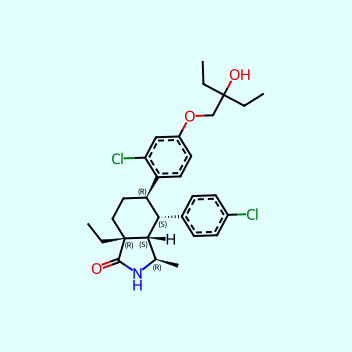 CCC(O)(CC)COc1ccc([C@@H]2CC[C@@]3(CC)C(=O)N[C@H](C)[C@H]3[C@H]2c2ccc(Cl)cc2)c(Cl)c1